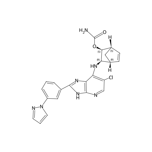 NC(=O)O[C@@H]1[C@H](Nc2c(Cl)cnc3[nH]c(-c4cccc(-n5cccn5)c4)nc23)[C@H]2C=C[C@@H]1C2